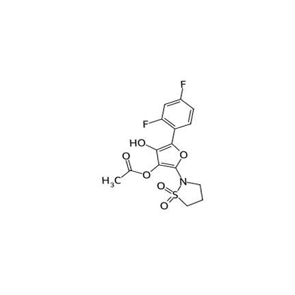 CC(=O)Oc1c(N2CCCS2(=O)=O)oc(-c2ccc(F)cc2F)c1O